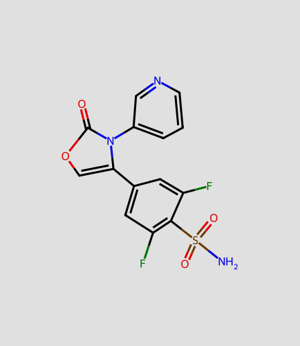 NS(=O)(=O)c1c(F)cc(-c2coc(=O)n2-c2cccnc2)cc1F